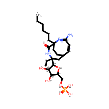 CCCCCCC12CCC(/C=C\C(N)=N/1)CC(CC)(C1OC(COP(=O)(O)O)C(O)C1O)NC2=O